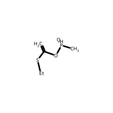 C=C(O[PH](C)=O)SCC